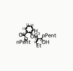 CCC=C(C)C(O)CCCCC.CCCCCOC(=O)c1ccccc1O